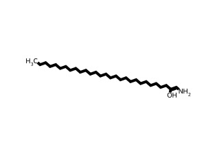 CCCCCCCCCCCCCCCCCCCCCCCCCCC/C(O)=C/N